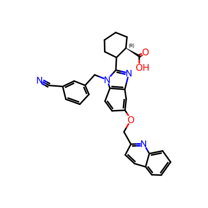 N#Cc1cccc(Cn2c(C3CCCC[C@H]3C(=O)O)nc3cc(OCc4ccc5ccccc5n4)ccc32)c1